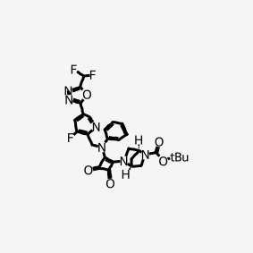 CC(C)(C)OC(=O)N1C[C@@H]2C[C@H]1CN2c1c(N(Cc2ncc(-c3nnc(C(F)F)o3)cc2F)c2ccccc2)c(=O)c1=O